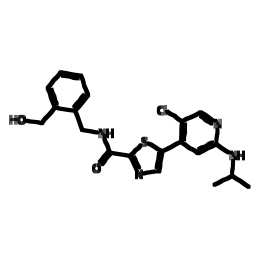 CC(C)Nc1cc(-c2cnc(C(=O)NCc3ccccc3CO)s2)c(Cl)cn1